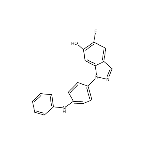 Oc1cc2c(cnn2-c2ccc(Nc3ccccc3)cc2)cc1F